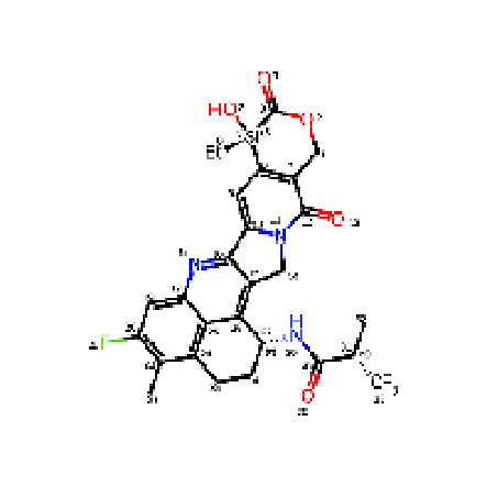 CC[Si@@]1(O)C(=O)OCc2c1cc1n(c2=O)Cc2c-1nc1cc(F)c(C)c3c1c2[C@H](NC(=O)[C@H](C)C(F)(F)F)CC3